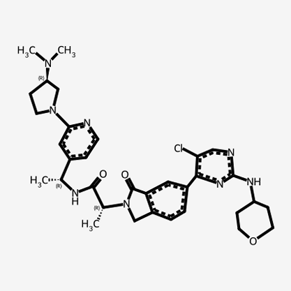 C[C@H](C(=O)N[C@H](C)c1ccnc(N2CC[C@@H](N(C)C)C2)c1)N1Cc2ccc(-c3nc(NC4CCOCC4)ncc3Cl)cc2C1=O